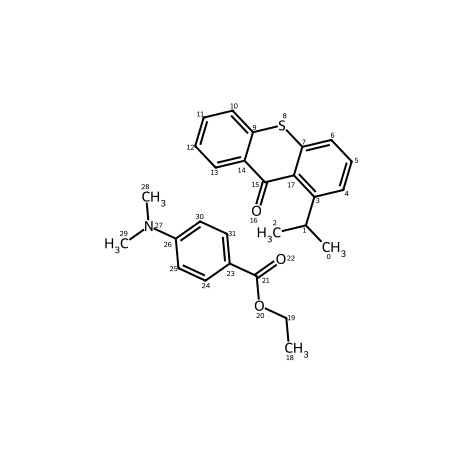 CC(C)c1cccc2sc3ccccc3c(=O)c12.CCOC(=O)c1ccc(N(C)C)cc1